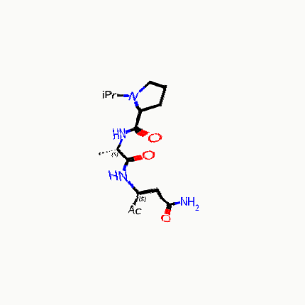 CC(=O)[C@H](CC(N)=O)NC(=O)[C@H](C)NC(=O)C1CCCN1C(C)C